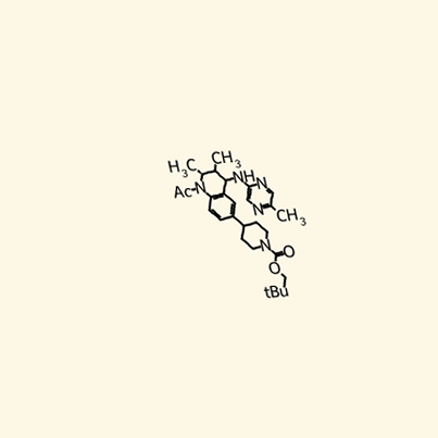 CC(=O)N1c2ccc(C3CCN(C(=O)OCC(C)(C)C)CC3)cc2C(Nc2cnc(C)cn2)C(C)[C@@H]1C